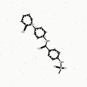 CS(=O)(=O)Nc1ccc(C(=O)Nc2ccc(-n3ccccc3=O)cc2)cc1